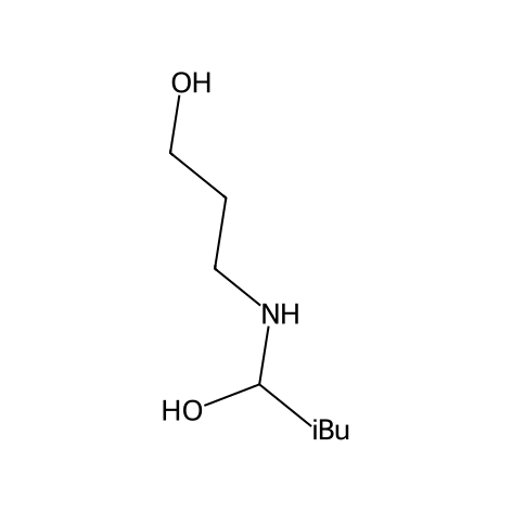 CCC(C)C(O)NCCCO